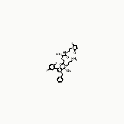 CCCCC(SCC(=O)N(CCCN)[C@@H](c1nc(-c2cc(F)ccc2F)cn1Cc1ccccc1)C(C)(C)C)C(=O)NCCN1C(=O)C=CC1=O